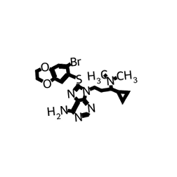 CN(C)C(CCn1c(Sc2cc3c(cc2Br)OCCO3)nc2c(N)ncnc21)C1CC1